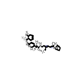 C=C/C(=C\C=C(/C)N1CC2CCC(C1)N2)CCNC(=O)C(C)(C)c1ccc(N[C@H](C)c2ccccc2N)nc1